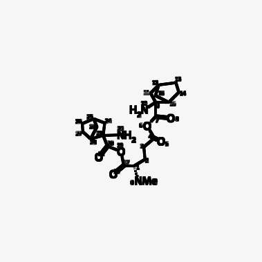 CN[C@@H](CCC(=O)OC(=O)C1(N)CC2CCC1C2)C(=O)OC(=O)C1(N)CC2CCC1C2